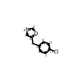 Clc1ccc(Cc2cn[c]o2)cc1